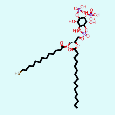 CCCCCCCCCCCCCCCC(=O)O[C@H](COC(=O)CCCCCCCCCCCCS)COP(=O)(O)OC1C(O)[C@H](O)C(OP(=O)(O)O)[C@H](OP(=O)(O)O)[C@@H]1O